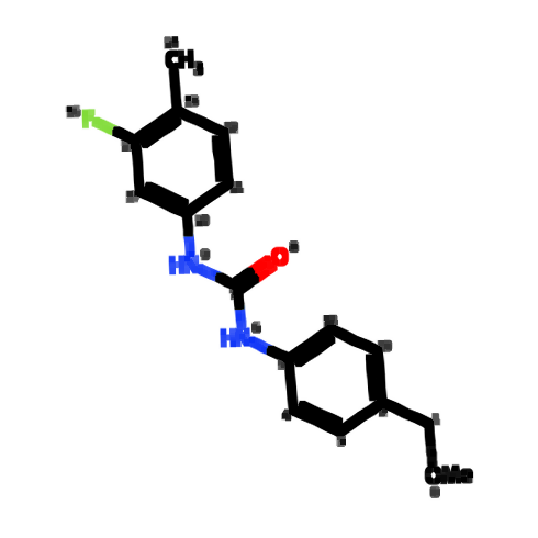 COCc1ccc(NC(=O)Nc2ccc(C)c(F)c2)cc1